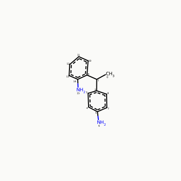 CC(c1ccc(N)cc1)c1ccccc1N